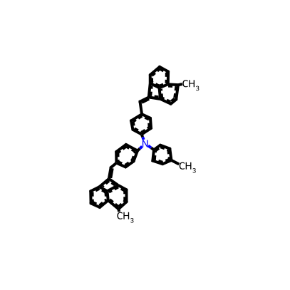 Cc1ccc(N(c2ccc(C=c3c4cccc5c(C)ccc3c54)cc2)c2ccc(C=c3c4cccc5c(C)ccc3c54)cc2)cc1